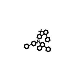 CC1(C)c2ccc(N(c3ccc(-c4ccccc4)cc3)c3ccc(-c4ccccc4)c4ccccc34)cc2-c2c(-c3ccccc3)cccc21